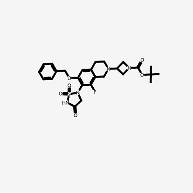 CC(C)(C)OC(=O)N1CC(N2CCc3cc(OCc4ccccc4)c(N4CC(=O)NS4(=O)=O)c(F)c3C2)C1